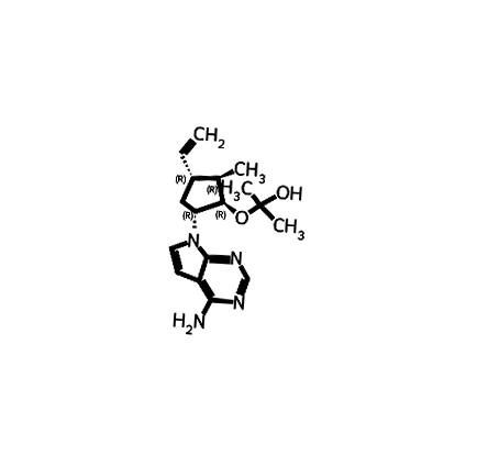 C=C[C@H]1C[C@@H](n2ccc3c(N)ncnc32)[C@H](OC(C)(C)O)[C@@H]1C